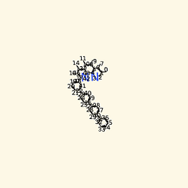 Cc1cnc2c(c1C)c(C)c(C)c1c(C)c(C)c(-c3cccc(-c4ccc(-c5ccc(-c6ccccc6)cc5)cc4)c3)nc12